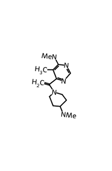 C=C(c1ncnc(NC)c1C)N1CCC(NC)CC1